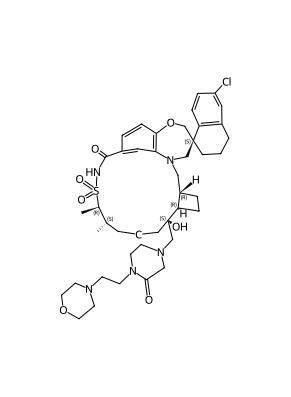 C[C@@H]1[C@@H](C)CCC[C@@](O)(CN2CCN(CCN3CCOCC3)C(=O)C2)[C@@H]2CC[C@H]2CN2C[C@@]3(CCCc4cc(Cl)ccc43)COc3ccc(cc32)C(=O)NS1(=O)=O